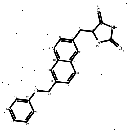 O=C1NC(=O)C(Cc2cnc3cc(COc4ccccc4)ccc3c2)S1